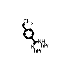 C=Cc1ccc(C(=NCCC)NCCC)cc1